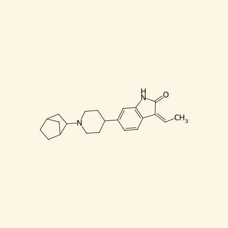 CC=C1C(=O)Nc2cc(C3CCN(C4CC5CCC4C5)CC3)ccc21